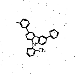 Cc1cccc(-c2ccc3c(c2)c2cc(-c4ccccc4)ccc2n3-c2ccccc2C#N)c1